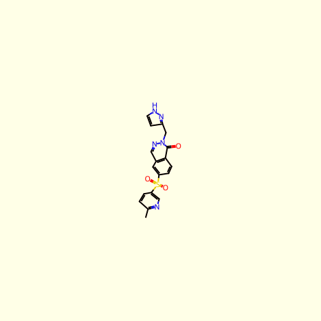 Cc1ccc(S(=O)(=O)c2ccc3c(=O)n(Cc4cc[nH]n4)ncc3c2)cn1